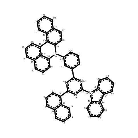 c1cc(-c2nc(-c3cccc4ccccc34)nc(-n3c4ccccc4c4ccccc43)n2)cc(N2c3ccc4ccccc4c3-c3cccc4cccc2c34)c1